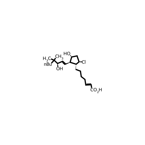 CCCCC(C)(C)[C@H](O)/C=C/[C@@H]1[C@@H](CCCC/C=C/C(=O)O)[C@H](Cl)C[C@H]1O